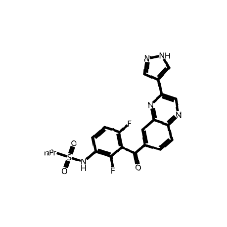 CCCS(=O)(=O)Nc1ccc(F)c(C(=O)c2ccc3ncc(-c4cn[nH]c4)nc3c2)c1F